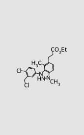 CCOC(=O)CCc1ccc2c(c1C)N(c1ccc(Cl)c(CCl)c1)NN2C